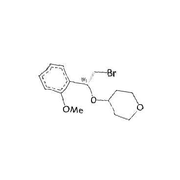 COc1ccccc1[C@H](CBr)OC1CCOCC1